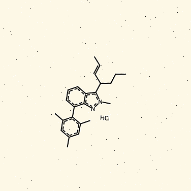 CC=CC(CCC)c1c2cccc(-c3c(C)cc(C)cc3C)c2nn1C.Cl